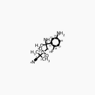 CC(C)(C#N)S(=O)(=O)C[C@](C)(N)c1cc(N)ccc1F